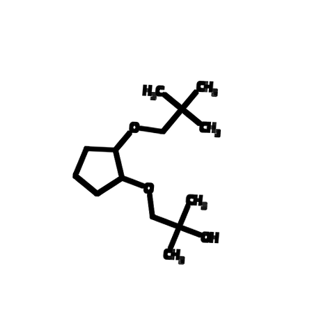 CC(C)(C)COC1CCCC1OCC(C)(C)O